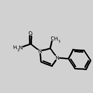 CC1N(C(N)=O)C=CN1c1ccccc1